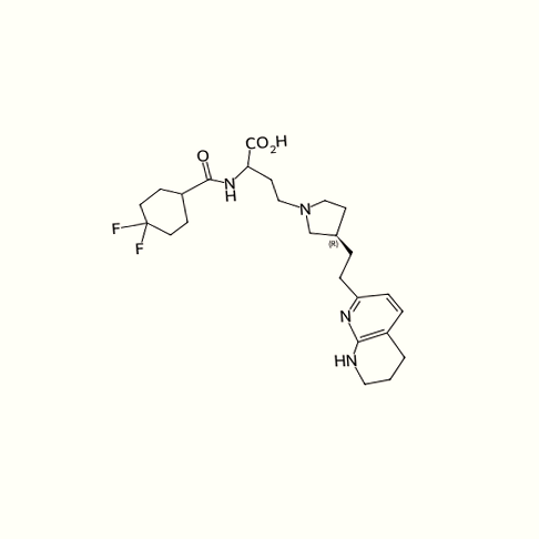 O=C(NC(CCN1CC[C@@H](CCc2ccc3c(n2)NCCC3)C1)C(=O)O)C1CCC(F)(F)CC1